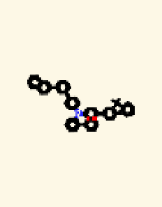 CC1(C)c2ccccc2-c2ccc(-c3ccc(N(c4ccc(-c5cccc(-c6ccc7ccccc7c6)c5)cc4)c4ccccc4-c4ccccc4)cc3)cc21